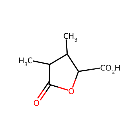 CC1C(=O)OC(C(=O)O)C1C